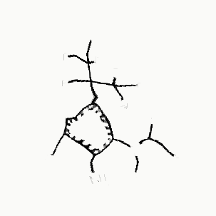 Nc1c(Cl)cc(C(F)(C(F)(F)F)C(F)(F)Br)cc1[S+]([O-])C(F)F